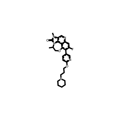 CC1COc2c(-c3ccc(OCCCN4CCCCC4)nc3)c(F)cc3ncc4c(c23)n1c(=O)n4C